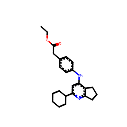 CCOC(=O)Cc1ccc(Nc2cc(C3CCCCC3)nc3c2CCC3)cc1